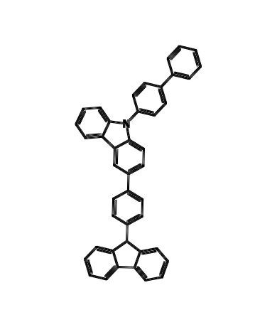 c1ccc(-c2ccc(-n3c4ccccc4c4cc(-c5ccc(C6c7ccccc7-c7ccccc76)cc5)ccc43)cc2)cc1